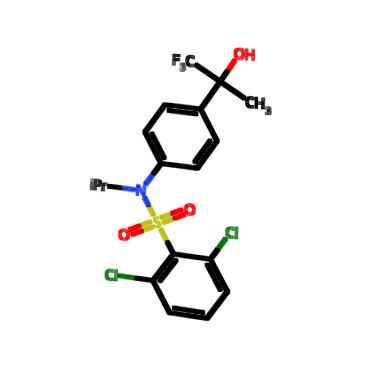 CC(C)N(c1ccc(C(C)(O)C(F)(F)F)cc1)S(=O)(=O)c1c(Cl)cccc1Cl